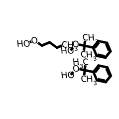 CC(C)(OO)c1ccccc1.CC(C)(OO)c1ccccc1.CCCCOO